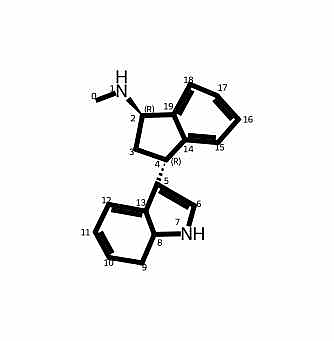 CN[C@@H]1C[C@@H](C2=CNC3CC=CC=C23)c2ccccc21